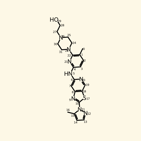 Cc1ccc(Nc2cc3nc(-n4nccc4C)sc3cn2)nc1N1CCN(CCO)CC1